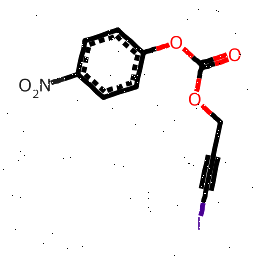 O=C(OCC#CI)Oc1ccc([N+](=O)[O-])cc1